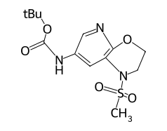 CC(C)(C)OC(=O)Nc1cnc2c(c1)N(S(C)(=O)=O)CCO2